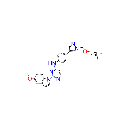 COc1ccc2c(ccn2-c2nccc(Nc3ccc(-c4cnn(COCC[Si](C)(C)C)c4)cc3)n2)c1